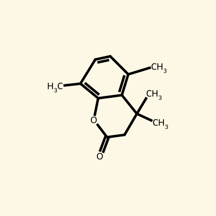 Cc1ccc(C)c2c1OC(=O)CC2(C)C